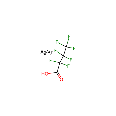 O=C(O)C(F)(F)C(F)(F)C(F)(F)F.[Ag].[Ag]